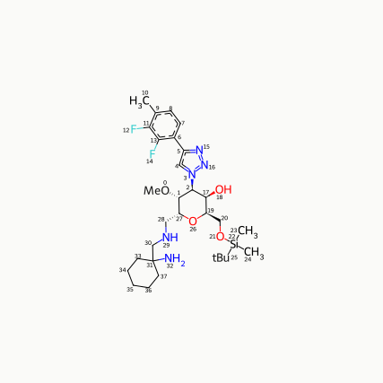 CO[C@@H]1[C@@H](n2cc(-c3ccc(C)c(F)c3F)nn2)[C@@H](O)[C@@H](CO[Si](C)(C)C(C)(C)C)O[C@@H]1CNCC1(N)CCCCC1